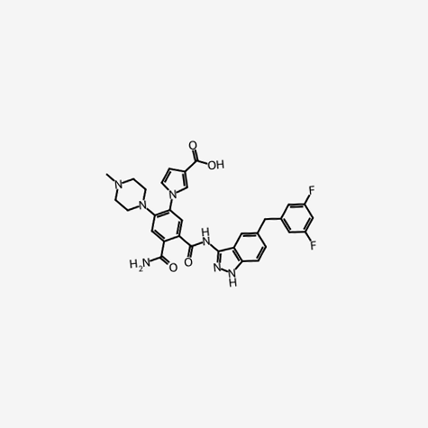 CN1CCN(c2cc(C(N)=O)c(C(=O)Nc3n[nH]c4ccc(Cc5cc(F)cc(F)c5)cc34)cc2-n2ccc(C(=O)O)c2)CC1